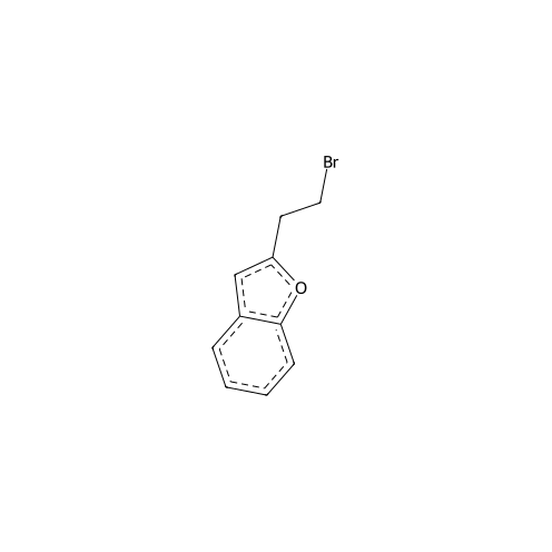 BrCCc1cc2ccccc2o1